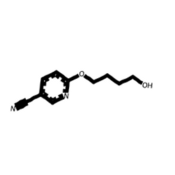 N#Cc1ccc(OCCCCO)nc1